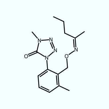 CCCC(C)=NOCc1c(C)cccc1-n1nnn(C)c1=O